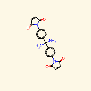 NC(N)(c1ccc(N2C(=O)C=CC2=O)cc1)c1ccc(N2C(=O)C=CC2=O)cc1